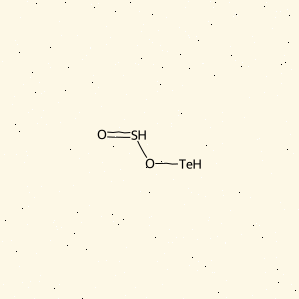 O=[SH]O[TeH]